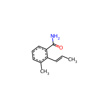 CC=Cc1c(C)cccc1C(N)=O